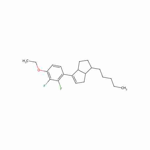 CCCCCC1CCC2C(c3ccc(OCC)c(F)c3F)=CCC12